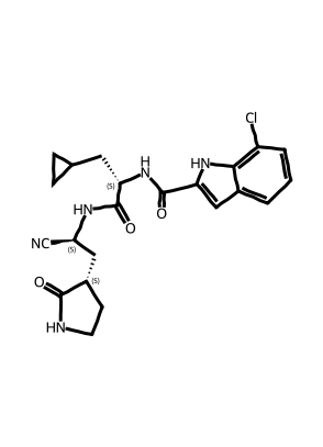 N#C[C@H](C[C@@H]1CCNC1=O)NC(=O)[C@H](CC1CC1)NC(=O)c1cc2cccc(Cl)c2[nH]1